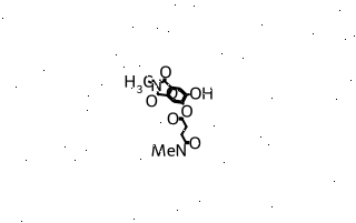 CNC(=O)CCC(=O)Oc1c(O)c2oc1c1c2C(=O)N(C)C1=O